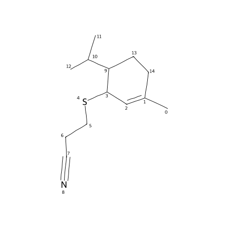 CC1=CC(SCCC#N)C(C(C)C)CC1